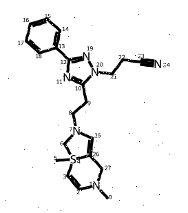 CN1C=CS2(C)CN(CCc3nc(-c4ccccc4)nn3CCC#N)C=C2C1